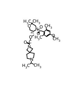 COc1cc(C)c(S(=O)(=O)N2CC(C)(C)OC[C@H]2COCC(=O)N2CC3(CCN(C(C)C)CC3)C2)c(C)c1